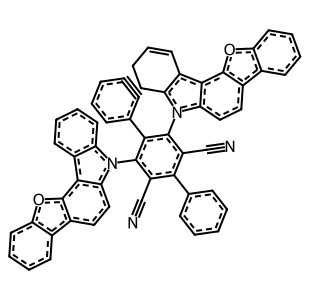 N#Cc1c(-c2ccccc2)c(C#N)c(-n2c3ccccc3c3c4oc5ccccc5c4ccc32)c(-c2c#cccc2)c1-n1c2c(c3c4oc5ccccc5c4ccc31)C=CCC2